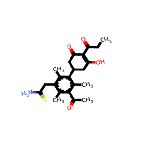 CCC(=O)C1=C(O)CC(c2c(C)c(CC(N)=S)c(C)c(C(C)=O)c2C)CC1=O